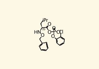 CC(C)C[C@H](NOCc1ccccc1)C(=O)OP(=O)(Cl)Oc1ccccc1Cl